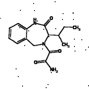 CCC(C)C1C(=O)Nc2ccccc2CN1C(=O)C(N)=O